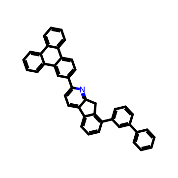 c1ccc(-c2cccc(-c3cccc4c3Cc3nc(-c5ccc6c7ccccc7c7ccccc7c6c5)ccc3-4)c2)cc1